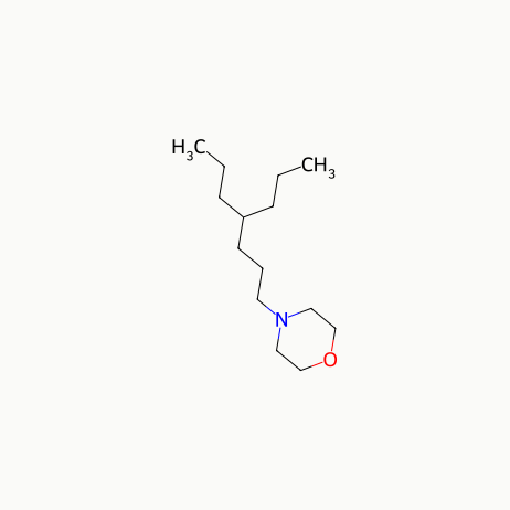 CCCC(CCC)CCCN1CCOCC1